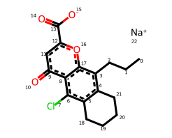 CCCc1c2c(c(Cl)c3c(=O)cc(C(=O)[O-])oc13)CCCC2.[Na+]